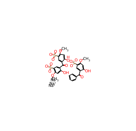 COc1cc(O)c(C(=O)c2cc(S(=O)(=O)[O-])c(OC)cc2O)cc1S(=O)(=O)[O-].COc1cc(O)c(C(=O)c2ccccc2)cc1S(=O)(=O)[O-].[Na+].[Na+].[Na+]